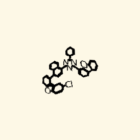 ClC1C=Cc2oc3c(c2C1)C(C1C=CC(c2nc(C4=CCCC5=C4OC4CCC=CC54)nc(C4C=CCCC4)n2)=C2C=CC=CC21)=CCC3